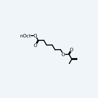 C=C(C)C(=O)OCCCCCC(=O)OCCCCCCCC